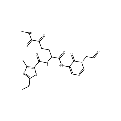 CNC(=O)C(=O)CCC(NC(=O)c1sc(OC)nc1C)C(=O)Nc1cccn(CC=O)c1=O